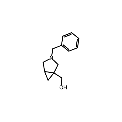 OCC12CC1CN(Cc1ccccc1)C2